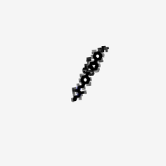 C=C/C=C(C)\C(F)=C/CC1CCC(C(=O)Oc2ccc(C3CCC(CCC)CC3)c(F)c2F)CC1